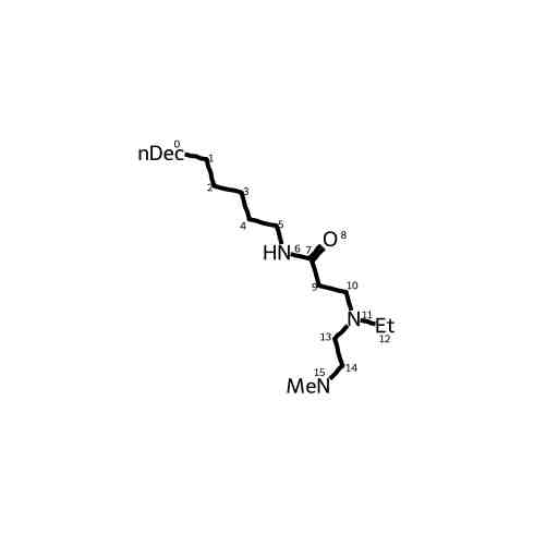 CCCCCCCCCCCCCCCNC(=O)CCN(CC)CCNC